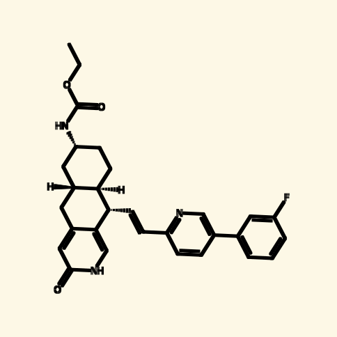 CCOC(=O)N[C@@H]1CC[C@@H]2[C@H](Cc3cc(=O)[nH]cc3[C@H]2/C=C/c2ccc(-c3cccc(F)c3)cn2)C1